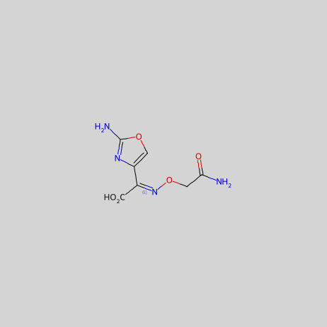 NC(=O)CO/N=C(/C(=O)O)c1coc(N)n1